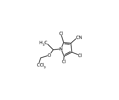 CC(OCC(Cl)(Cl)Cl)n1c(Cl)c(Cl)c(C#N)c1Cl